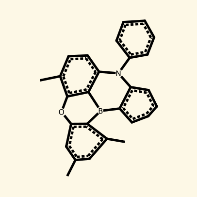 Cc1cc(C)c2c(c1)Oc1c(C)ccc3c1B2c1ccccc1N3c1ccccc1